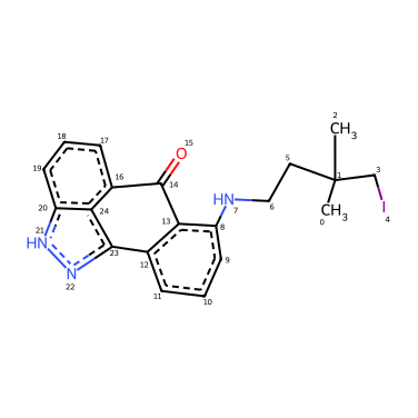 CC(C)(CI)CCNc1cccc2c1C(=O)c1cccc3[nH]nc-2c13